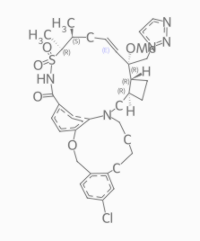 CO[C@@]1(Cn2ccnn2)/C=C/C[C@H](C)[C@@H](C)S(=O)(=O)NC(=O)c2ccc3c(c2)N(CCCCc2cc(Cl)ccc2CO3)C[C@@H]2CC[C@H]21